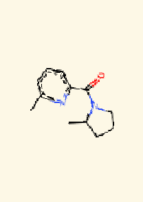 Cc1cccc(C(=O)N2CCCC2C)n1